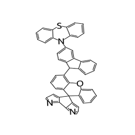 c1ccc2c(c1)Oc1c(C3c4ccccc4-c4cc(N5c6ccccc6Sc6ccccc65)ccc43)cccc1C21c2cccnc2-c2ncccc21